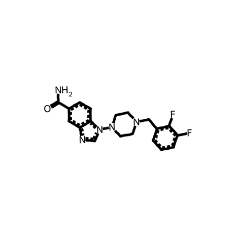 NC(=O)c1ccc2c(c1)ncn2N1CCN(Cc2cccc(F)c2F)CC1